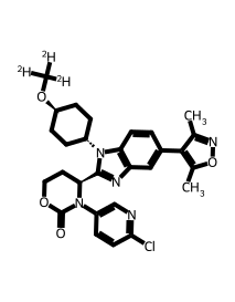 [2H]C([2H])([2H])O[C@H]1CC[C@H](n2c([C@@H]3CCOC(=O)N3c3ccc(Cl)nc3)nc3cc(-c4c(C)noc4C)ccc32)CC1